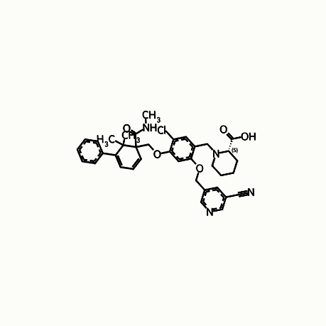 CNC(=O)C1(COc2cc(OCc3cncc(C#N)c3)c(CN3CCCC[C@H]3C(=O)O)cc2Cl)C=CC=C(c2ccccc2)C1(C)C